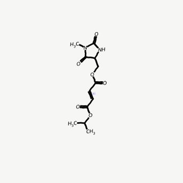 CC(C)OC(=O)/C=C/C(=O)OCC1NC(=O)N(C)C1=O